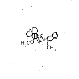 CCc1cc2ccccc2cc1N(C)/C=N\c1cc2c3c(c1OC)CCCN3CCC2